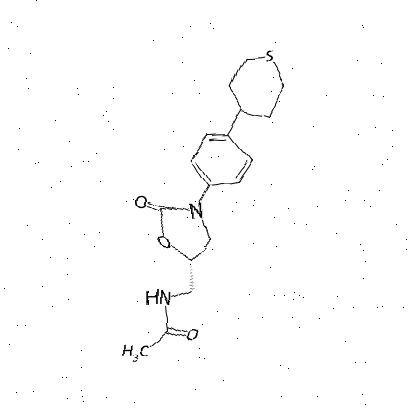 CC(=O)NC[C@H]1CN(c2ccc(C3CCSCC3)cc2)C(=O)O1